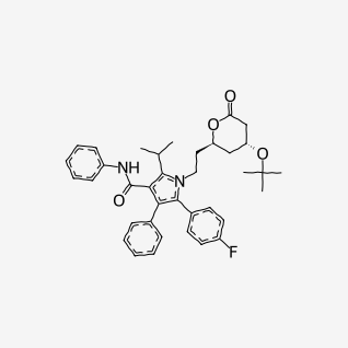 CC(C)c1c(C(=O)Nc2ccccc2)c(-c2ccccc2)c(-c2ccc(F)cc2)n1CC[C@@H]1C[C@@H](OC(C)(C)C)CC(=O)O1